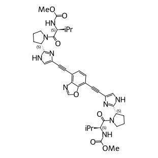 COC(=O)N[C@H](C(=O)N1CCC[C@H]1c1nc(C#Cc2ccc(C#Cc3c[nH]c([C@@H]4CCCN4C(=O)[C@@H](NC(=O)OC)C(C)C)n3)c3ocnc23)c[nH]1)C(C)C